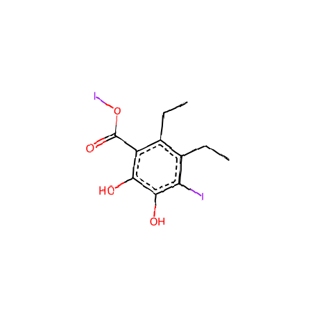 CCc1c(I)c(O)c(O)c(C(=O)OI)c1CC